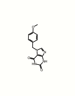 COc1ccc(Cn2cnc3[nH]c(=O)[nH]c(=O)c32)cc1